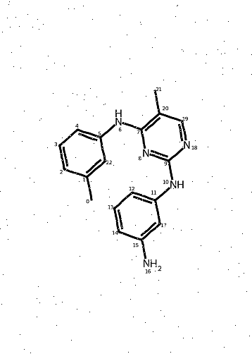 Cc1cccc(Nc2nc(Nc3cccc(N)c3)ncc2C)c1